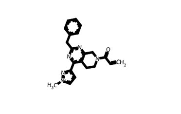 C=CC(=O)N1CCc2c(nc(Cc3ccccc3)nc2-c2ccn(C)n2)C1